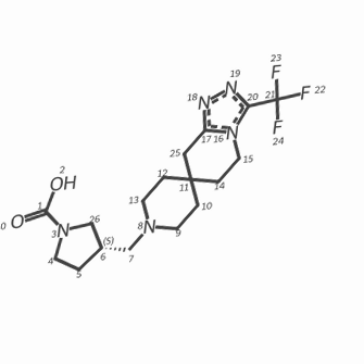 O=C(O)N1CC[C@@H](CN2CCC3(CC2)CCn2c(nnc2C(F)(F)F)C3)C1